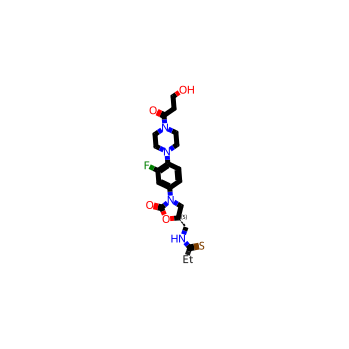 CCC(=S)NC[C@H]1CN(c2ccc(N3CCN(C(=O)CCO)CC3)c(F)c2)C(=O)O1